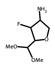 COC(OC)C1OCC(N)C1F